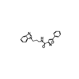 O=C(NCCCn1cnc2ccccc21)c1cc(-c2ccccc2)on1